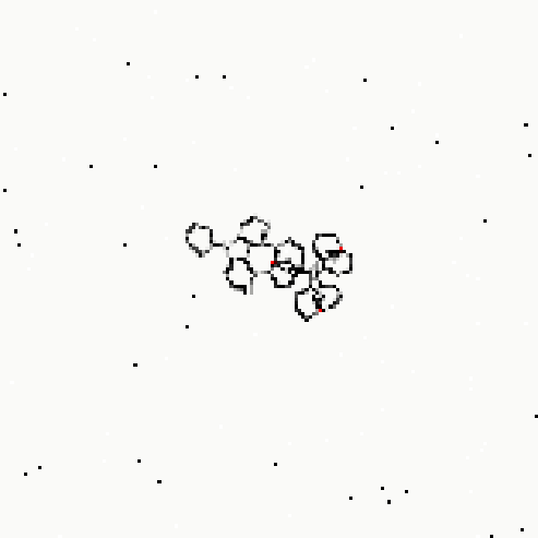 c1ccc(N(c2ccccc2)c2ccc(-c3nccc4c3c3c(-c5ccc(N(c6ccccc6)c6ccccc6)cc5)nccc3n4-c3ccccc3)cc2)cc1